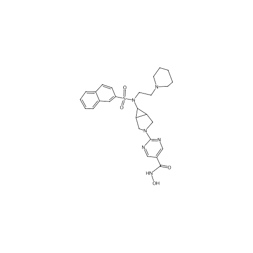 O=C(NO)c1cnc(N2CC3C(C2)C3N(CCN2CCCCC2)S(=O)(=O)c2ccc3ccccc3c2)nc1